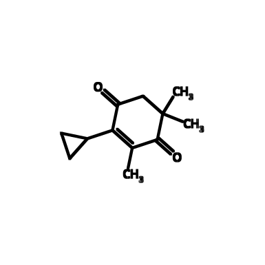 CC1=C(C2CC2)C(=O)CC(C)(C)C1=O